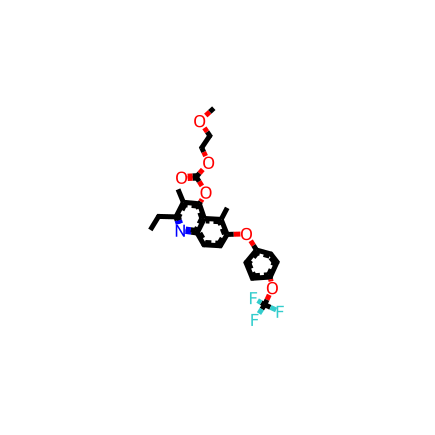 CCc1nc2ccc(Oc3ccc(OC(F)(F)F)cc3)c(C)c2c(OC(=O)OCCOC)c1C